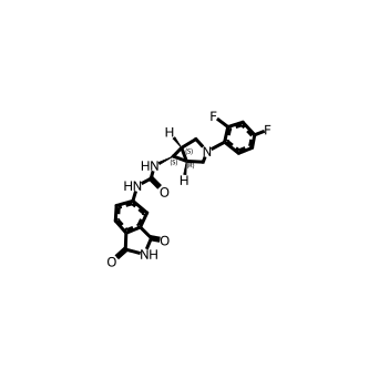 O=C(Nc1ccc2c(c1)C(=O)NC2=O)N[C@H]1[C@@H]2CN(c3ccc(F)cc3F)C[C@@H]21